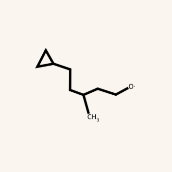 CC(CC[O])CCC1CC1